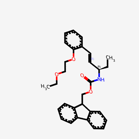 CCOCCOc1ccccc1/C=C/[C@@H](CC)NC(=O)OCC1c2ccccc2-c2ccccc21